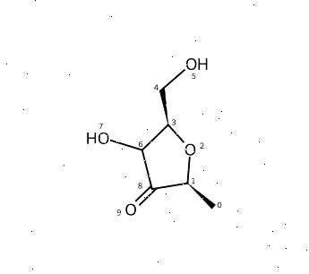 C[C@@H]1O[C@H](CO)C(O)C1=O